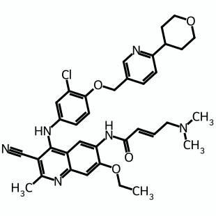 CCOc1cc2nc(C)c(C#N)c(Nc3ccc(OCc4ccc(C5CCOCC5)nc4)c(Cl)c3)c2cc1NC(=O)/C=C/CN(C)C